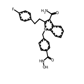 NC(=O)c1c(CCc2ccc(F)cc2)n(Cc2ccc(C(=O)NO)cc2)c2ccccc12